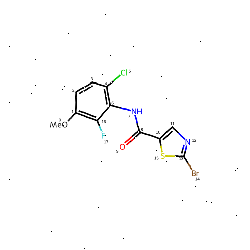 COc1ccc(Cl)c(NC(=O)c2cnc(Br)s2)c1F